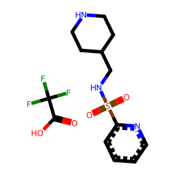 O=C(O)C(F)(F)F.O=S(=O)(NCC1CCNCC1)c1ccccn1